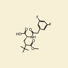 COC(=O)C(C[C@H](NC(=O)Cc1cc(F)cc(F)c1)C(=O)O)C(C)(C)C